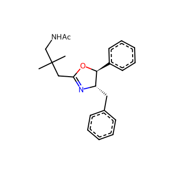 CC(=O)NCC(C)(C)CC1=N[C@@H](Cc2ccccc2)[C@H](c2ccccc2)O1